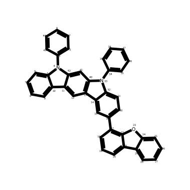 c1ccc(-n2c3ccccc3c3cc4c5cc(-c6cccc7c6oc6ccccc67)ccc5n(-c5ccccc5)c4cc32)cc1